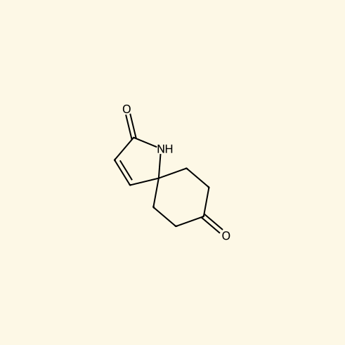 O=C1CCC2(C=CC(=O)N2)CC1